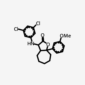 COc1cccc(C23CCCCCC2C(Nc2cc(Cl)cc(Cl)c2)C(=O)O3)c1